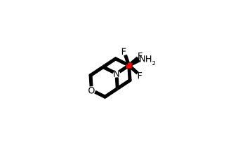 NC1CC2COCC(C1)N2C(F)(F)F